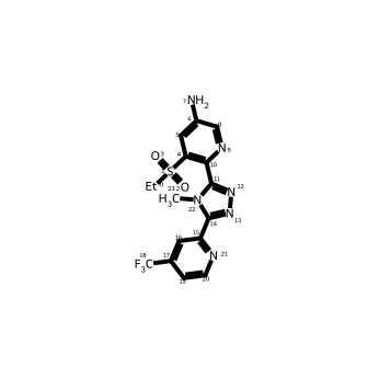 CCS(=O)(=O)c1cc(N)cnc1-c1nnc(-c2cc(C(F)(F)F)ccn2)n1C